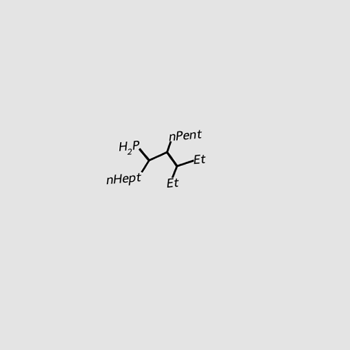 CCCCCCCC(P)C(CCCCC)C(CC)CC